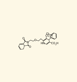 O=C(O)C1=CNC(CCOCCN2C(=O)C3=CC=CCC3C2=O)=C(C(=O)O)C1c1ccccc1Cl